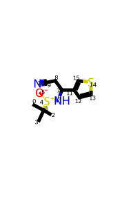 CC(C)(C)[S@@+]([O-])NC(CC#N)c1ccsc1